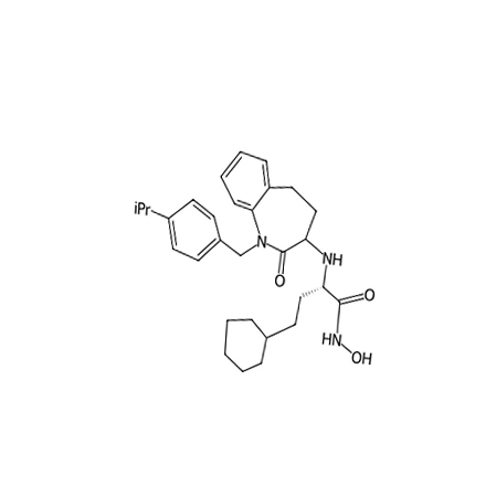 CC(C)c1ccc(CN2C(=O)C(N[C@@H](CCC3CCCCC3)C(=O)NO)CCc3ccccc32)cc1